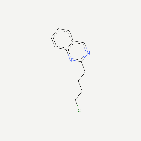 ClCCCCc1ncc2ccccc2n1